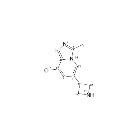 Cc1ncc2c(Cl)cc(C3CNC3)cn12